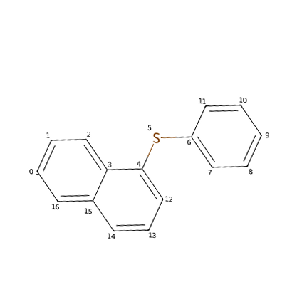 [c]1ccc2c(Sc3ccccc3)cccc2c1